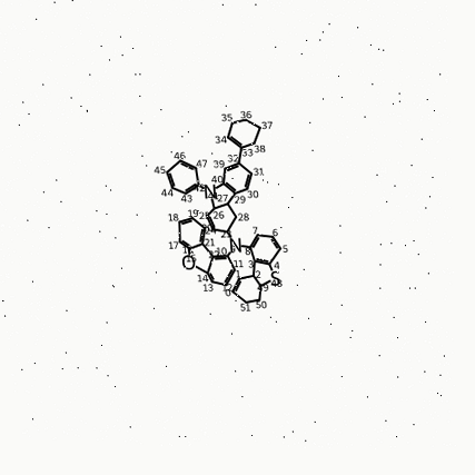 C1=CC2c3c(cccc3N(c3cccc4oc5ccccc5c34)C3C=CC4C(C3)c3ccc(C5=CCCCC5)cc3N4c3ccccc3)SC2CC1